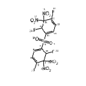 O=[N+]([O-])C1([N+](=O)[O-])C(F)=CC=C(S(=O)(=O)C2=CC=C(F)C([N+](=O)[O-])([N+](=O)[O-])C2F)C1F